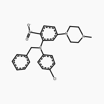 CN1CCN(c2ccc([N+](=O)[O-])c(N(Cc3ccccc3)c3ccc(Cl)cc3)c2)CC1